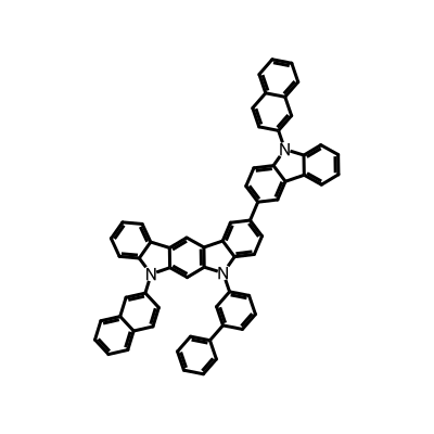 c1ccc(-c2cccc(-n3c4ccc(-c5ccc6c(c5)c5ccccc5n6-c5ccc6ccccc6c5)cc4c4cc5c6ccccc6n(-c6ccc7ccccc7c6)c5cc43)c2)cc1